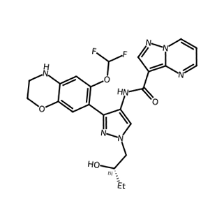 CC[C@H](O)Cn1cc(NC(=O)c2cnn3cccnc23)c(-c2cc3c(cc2OC(F)F)NCCO3)n1